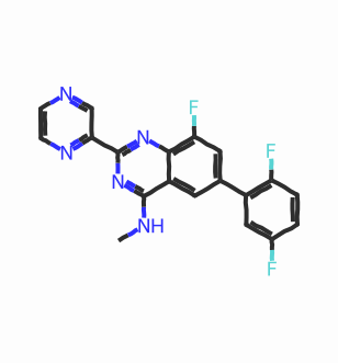 CNc1nc(-c2cnccn2)nc2c(F)cc(-c3cc(F)ccc3F)cc12